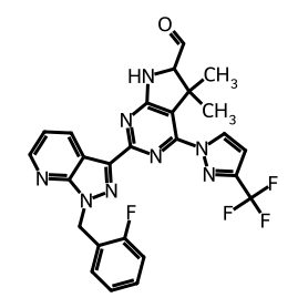 CC1(C)c2c(nc(-c3nn(Cc4ccccc4F)c4ncccc34)nc2-n2ccc(C(F)(F)F)n2)NC1C=O